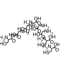 C[C@H](N)C(=O)O.NCC(=O)O.NCC(=O)O.NCC(=O)O.NCC(=O)O.N[C@@H](CO)C(=O)O.N[C@@H](CO)C(=O)O.N[C@@H](CS)C(=O)O